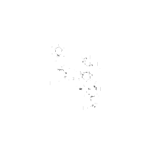 CC[C@@H]1C[C@@H](Oc2cc(O[C@@H](C)[C@@H]3C[C@@H](F)CN3C(=O)OC(C)(C)C)nc(C(N)=NO)n2)CCN1C(=O)OCc1ccccc1